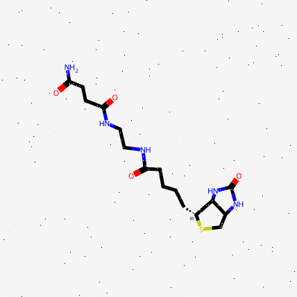 NC(=O)CCC(=O)NCCNC(=O)CCCC[C@H]1SCC2NC(=O)NC21